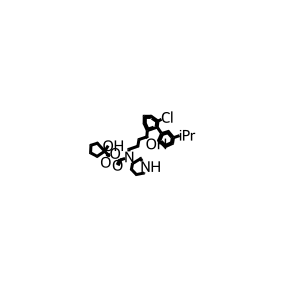 CC(C)c1cccc(-c2c(Cl)cccc2C(O)CCCN(C(=O)OC(=O)C2(O)CCCC2)C2CCCNC2)c1